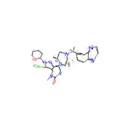 C[C@@H]1CN(c2nc(=O)n(C)c3c(Cl)n(C4CCCCO4)nc23)[C@@H](C)CN1[C@@H](C)c1ccc2nccnc2c1